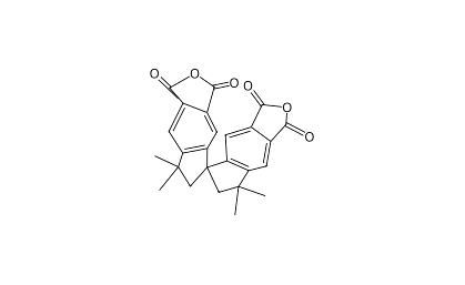 CC1(C)CC2(CC(C)(C)c3cc4c(cc32)C(=O)OC4=O)c2cc3c(cc21)C(=O)OC3=O